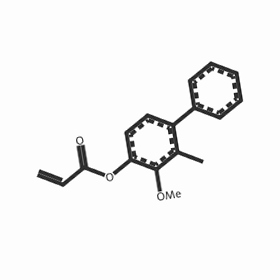 C=CC(=O)Oc1ccc(-c2ccccc2)c(C)c1OC